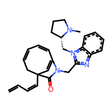 C=C/C=C\C12C=C(/C=C\C=C/C1)N(Cc1nc3ccccc3n1C[C@@H]1CCCN1C)C2=O